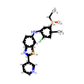 Cc1cc(F)c(Nc2ccc3nc(-c4cccnc4)sc3c2)cc1[S+]([O-])CC(F)(F)F